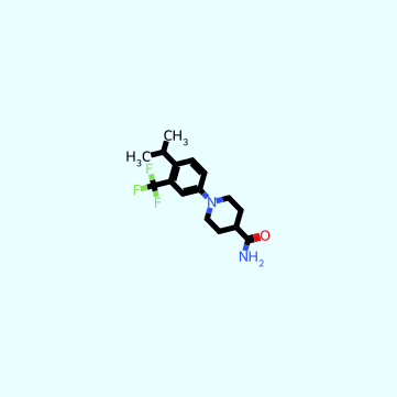 CC(C)c1ccc(N2CCC(C(N)=O)CC2)cc1C(F)(F)F